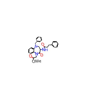 COC(=O)CN1C(=O)C(NC(=O)CCc2ccccc2)CN(Cc2ccccc2)c2ccccc21